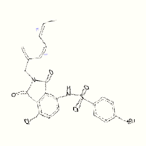 C=C(/C=C\C=C/C)CN1C(=O)c2c(Cl)ccc(NS(=O)(=O)c3ccc(C(C)(C)C)cc3)c2C1=O